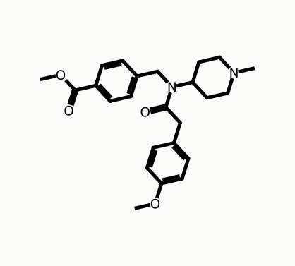 COC(=O)c1ccc(CN(C(=O)Cc2ccc(OC)cc2)C2CCN(C)CC2)cc1